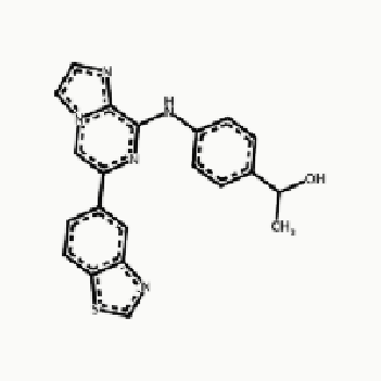 CC(O)c1ccc(Nc2nc(-c3ccc4scnc4c3)cn3ccnc23)cc1